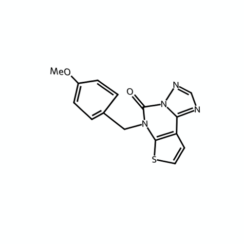 COc1ccc(Cn2c(=O)n3ncnc3c3ccsc32)cc1